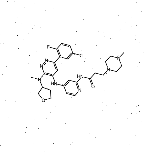 CN1CCN(CCC(=O)Nc2cc(Nc3cc(-c4cc(Cl)ccc4F)nnc3N(C)C3CCOC3)ccn2)CC1